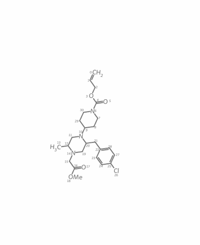 C=CCOC(=O)N1CCC(N2CC(C)N(CC(=O)OC)CC2Cc2ccc(Cl)cc2)CC1